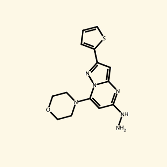 NNc1cc(N2CCOCC2)n2nc(-c3cccs3)cc2n1